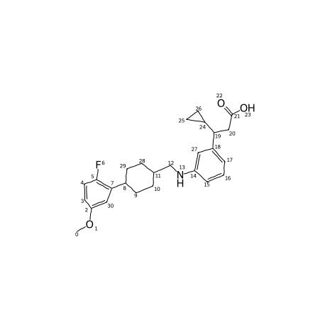 COc1ccc(F)c(C2CCC(CNc3cccc(C(CC(=O)O)C4CC4)c3)CC2)c1